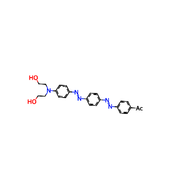 CC(=O)c1ccc(N=Nc2ccc(N=Nc3ccc(N(CCO)CCO)cc3)cc2)cc1